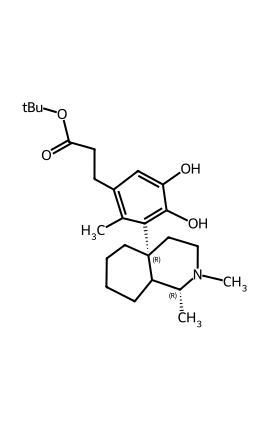 Cc1c(CCC(=O)OC(C)(C)C)cc(O)c(O)c1[C@@]12CCCCC1[C@@H](C)N(C)CC2